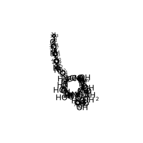 C[C@@H](O)[C@@H]1NC(=O)[C@@H](NC[C@H]2CC[C@H](c3nnc(-c4ccc(-c5ccc(N6CCC(OCC7CCC7)CC6)nc5)cc4)s3)CC2)CCCNC(=O)[C@@H]2[C@@H](O)[C@@H](C)CN2C(=O)[C@H]([C@H](O)CC(N)=O)NC(=O)[C@H]([C@H](O)Cc2ccc(O)c(OS(=O)(=O)O)c2)NC(=O)[C@@H]2C[C@@H](O)CN2C1=O